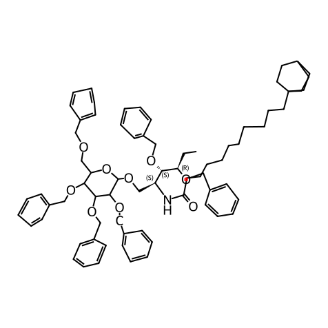 CC[C@@H](OCc1ccccc1)[C@@H](OCc1ccccc1)[C@H](COC1OC(COCc2ccccc2)C(OCc2ccccc2)C(OCc2ccccc2)C1OCc1ccccc1)NC(=O)CCCCCCCCCCC12CCC(CC1)CC2